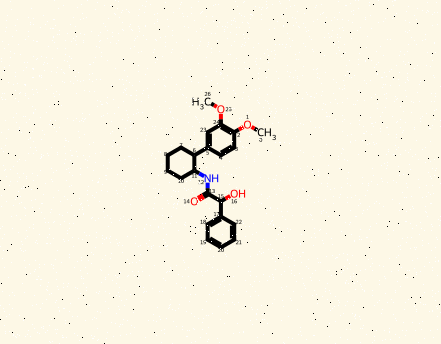 COc1ccc(C2CCCCC2NC(=O)C(O)c2ccccc2)cc1OC